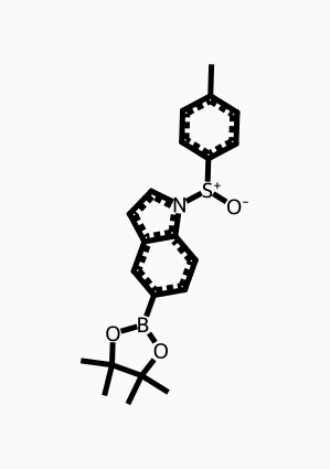 Cc1ccc([S+]([O-])n2ccc3cc(B4OC(C)(C)C(C)(C)O4)ccc32)cc1